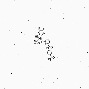 CNC(=O)c1ccc(NC(=O)c2cccc(-c3cn4ccnc4c(Nc4ccc(OC)c(F)c4)n3)c2)cc1